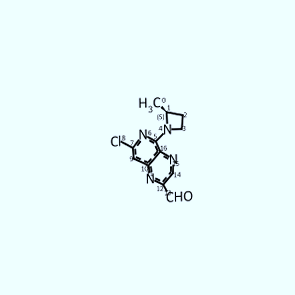 C[C@H]1CCN1c1nc(Cl)cc2nc(C=O)cnc12